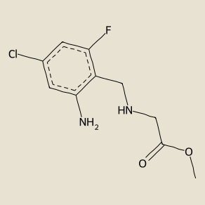 COC(=O)CNCc1c(N)cc(Cl)cc1F